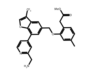 COC(=O)Cc1ccc(C)cc1OCc1cc(-c2ccnc(CN)c2)c2occ(C(F)(F)F)c2c1